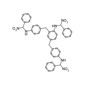 O=[N+]([O-])C(Nc1ccc(Cc2ccc(NC(c3ccccc3)[N+](=O)[O-])c(Cc3ccc(NC(c4ccccc4)[N+](=O)[O-])cc3)c2)cc1)c1ccccc1